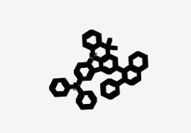 CC1(C)c2ccccc2-n2c3ccc(N(c4ccccc4)c4ccccc4)cc3c3cc(-c4c(-c5ccccc5)ccc5c4CCC=C5)cc1c32